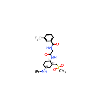 CC(C)N[C@@H]1CC[C@H](NC(=O)CNC(=O)c2cccc(C(F)(F)F)c2)[C@@H](CS(C)(=O)=O)C1